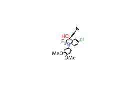 COc1ccc(N(C)c2ccc(Cl)cc2C(O)(C#CC2CC2)C(F)(F)F)cc1OC